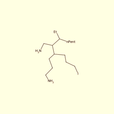 CCCCCC(CC)C(CN)C(CCCN)CCCI